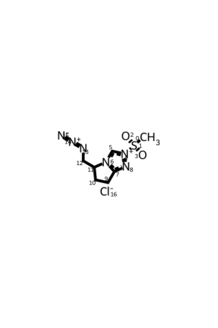 CS(=O)(=O)[n+]1cn2c(n1)CCC2CN=[N+]=[N-].[Cl-]